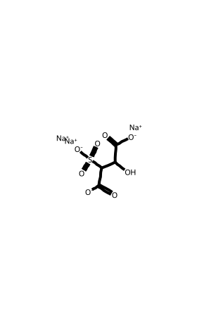 O=C([O-])C(O)C(C(=O)[O-])S(=O)(=O)[O-].[Na+].[Na+].[Na+]